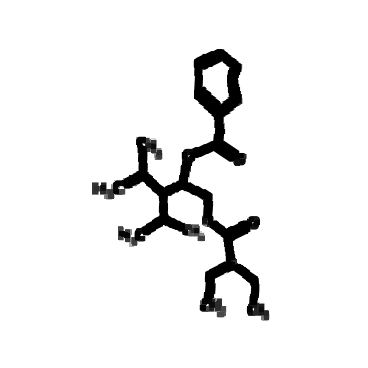 CCN(CC)C(=O)OCC(OC(=O)c1ccccc1)C(C(C)C)C(C)C